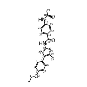 CCOc1ccc(-c2nc(NC(=O)c3ccc(NC(C)=O)cc3)sc2C)cc1